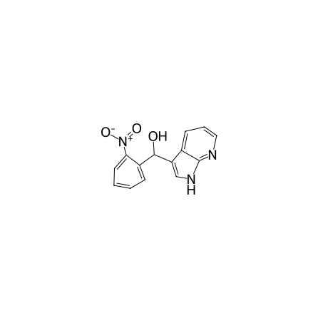 O=[N+]([O-])c1ccccc1C(O)c1c[nH]c2ncccc12